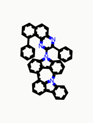 c1ccc(-c2nc3ccc4cccc(-c5ccccc5)c4c3nc2-n2c3cccc4c5cccc6c7ccccc7n(c7cccc2c7c43)c56)cc1